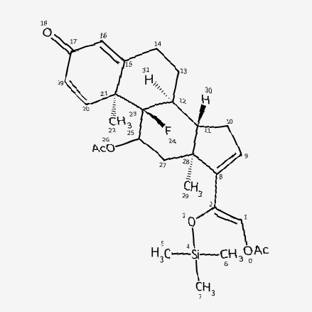 CC(=O)OC=C(O[Si](C)(C)C)C1=CC[C@H]2[C@@H]3CCC4=CC(=O)C=C[C@]4(C)[C@@]3(F)C(OC(C)=O)C[C@]12C